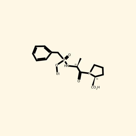 CCOP(=O)(Cc1ccccc1)N[C@@H](C)C(=O)N1CCC[C@H]1C(=O)O